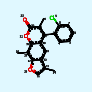 Cc1c(-c2ccccc2Cl)c2cc3c(C)coc3c(C)c2oc1=O